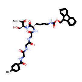 COC(=O)[C@H](CO)NC(=O)[C@H](CCCCNC(=O)OCC1c2ccccc2-c2ccccc21)NC(=O)CNC(=O)CNC(=O)CNC(=O)c1ccc(C(C)(C)C)cc1